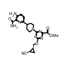 COC(=O)c1nc(OC[C@H]2C[C@H]2C#N)nc(N2CCC(c3ccc(N)c(C(N)=O)n3)CC2)n1